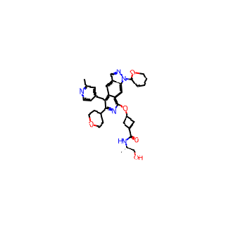 Cc1cc(-c2c(C3CCOCC3)nc(OC3CC(C(=O)N[C@@H](C)CO)C3)c3cc4c(cnn4C4CCCCO4)cc23)ccn1